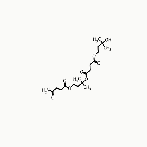 CC(C)(O)CCOC(=O)CCC(=O)OC(C)(C)CCOC(=O)CCC(N)=O